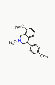 COc1cccc2c1CN(C)CC2c1ccc(C)cc1